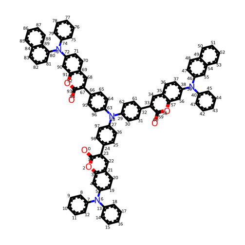 O=c1oc2cc(N(c3ccccc3)c3ccccc3)ccc2cc1-c1ccc(N(c2ccc(-c3cc4ccc(N(c5ccccc5)c5ccc6ccccc6c5)cc4oc3=O)cc2)c2ccc(-c3cc4ccc(N(c5ccccc5)c5cccc6ccccc56)cc4oc3=O)cc2)cc1